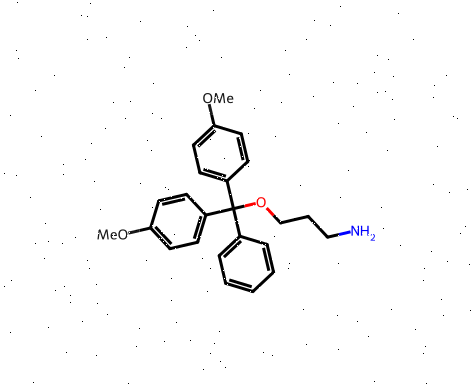 COc1ccc(C(OCCCN)(c2ccccc2)c2ccc(OC)cc2)cc1